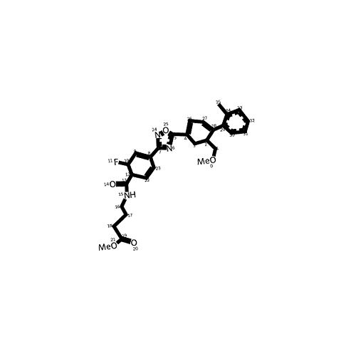 COCC1CC(c2nc(C3=CC(F)C(C(=O)NCCCC(=O)OC)C=C3)no2)=CC=C1c1ccccc1C